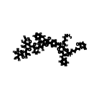 C=C1C=CC(=O)N1CCCCCC(=O)N[C@@H](Cc1ccccc1)C(=O)N[C@@H](CCCCN)C(=O)Nc1ccc(NC(=O)[C@H](Cc2ccccc2)NC(=O)[C@H](C)[C@@H](OC)[C@@H]2CCCN2C(=O)C[C@@H](OC)[C@H]([C@@H](C)CC)N(C)C(=O)[C@@H](NC(=O)C(C(C)C)N(C)C)C(C)C)cc1